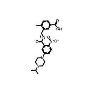 Cc1ccc(C(=O)O)cc1CNC(=O)c1cc(N2CCN(C(C)C)CC2)ccc1[N+](=O)[O-]